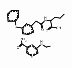 CCCC(NC(=O)Cc1cccc(Oc2ccccc2)c1)C(=O)O.CCNc1cncc(C(N)=O)n1